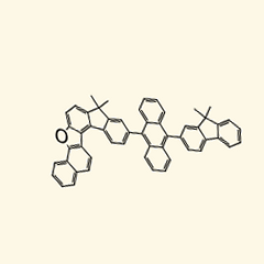 CC1(C)c2ccccc2-c2ccc(-c3c4ccccc4c(-c4ccc5c(c4)C(C)(C)c4ccc6oc7c8ccccc8ccc7c6c4-5)c4ccccc34)cc21